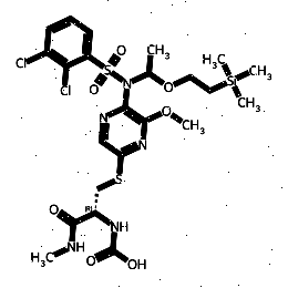 CNC(=O)[C@H](CSc1cnc(N(C(C)OCC[Si](C)(C)C)S(=O)(=O)c2cccc(Cl)c2Cl)c(OC)n1)NC(=O)O